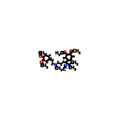 [C-]#[N+]C(CCCN(C)CCc1ccc(OC)c(OC)c1)(c1ccc(OC)c(OC)c1)C(C)C